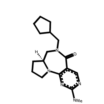 CNc1ncc2c(n1)N1CCC[C@H]1CN(CC1CCCC1)C2=O